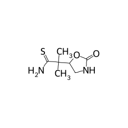 CC(C)(C(N)=S)C1CNC(=O)O1